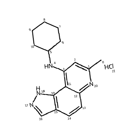 Cc1cc(NC2CCCCC2)c2c(ccc3cn[nH]c32)n1.Cl